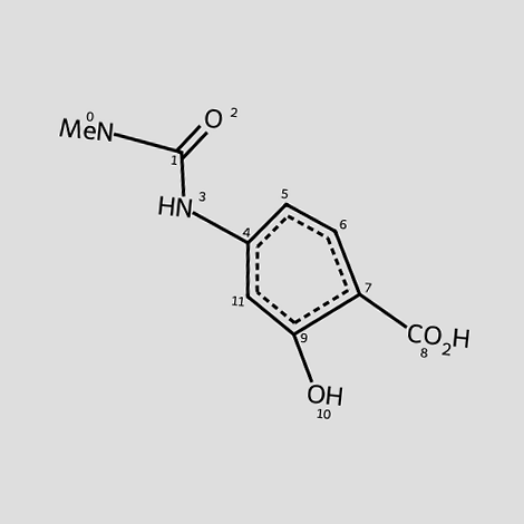 CNC(=O)Nc1ccc(C(=O)O)c(O)c1